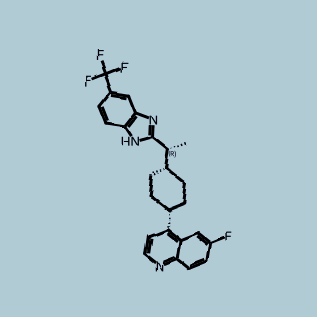 C[C@@H](c1nc2cc(C(F)(F)F)ccc2[nH]1)[C@H]1CC[C@@H](c2ccnc3ccc(F)cc32)CC1